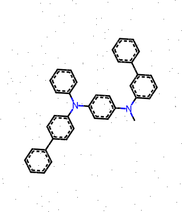 CN(c1ccc(N(c2ccccc2)c2ccc(-c3ccccc3)cc2)cc1)c1cccc(-c2ccccc2)c1